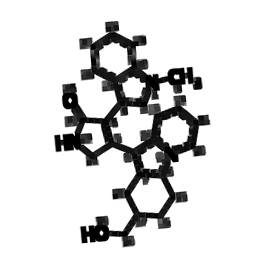 Cn1cc(C2=C(c3c4c(n5ccccc35)CCC(CO)C4)CNC2=O)c2ccccc21